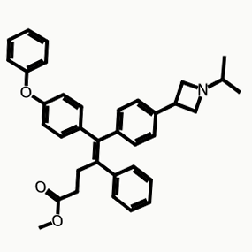 COC(=O)CC/C(=C(\c1ccc(Oc2ccccc2)cc1)c1ccc(C2CN(C(C)C)C2)cc1)c1ccccc1